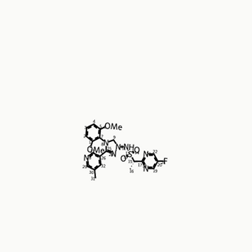 COc1cccc(OC)c1N1CN(NS(=O)(=O)[C@@H](C)c2ncc(F)cn2)N=C1c1cncc(C)c1